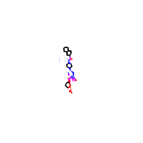 CC[N+]([O-])(C(=O)c1cccc(OC(C)=O)c1)N1CCN(c2ccc(NC(=O)c3ccc4ccccc4c3)cc2)CC1